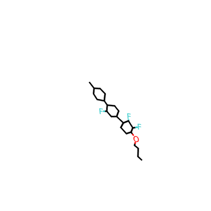 CCCCOC1CCC(C2CCC(C3CCC(C)CC3)C(F)C2)C(F)C1F